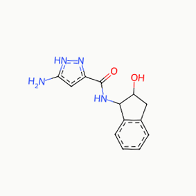 Nc1cc(C(=O)NC2c3ccccc3CC2O)n[nH]1